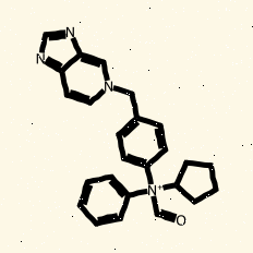 O=C[N+](c1ccccc1)(c1ccc(Cn2ccc3ncnc-3c2)cc1)C1CCCC1